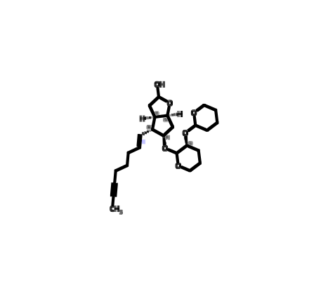 CC#CCCC/C=C/[C@@H]1[C@H]2CC(O)O[C@H]2C[C@H]1OC1OCCC[C@@H]1OC1CCCCO1